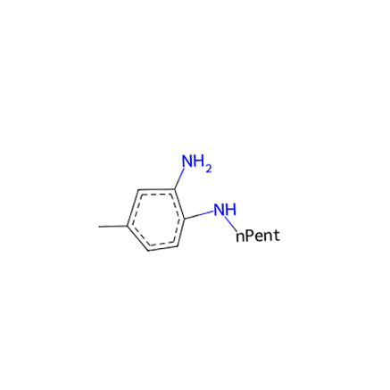 CCCCCNc1ccc(C)cc1N